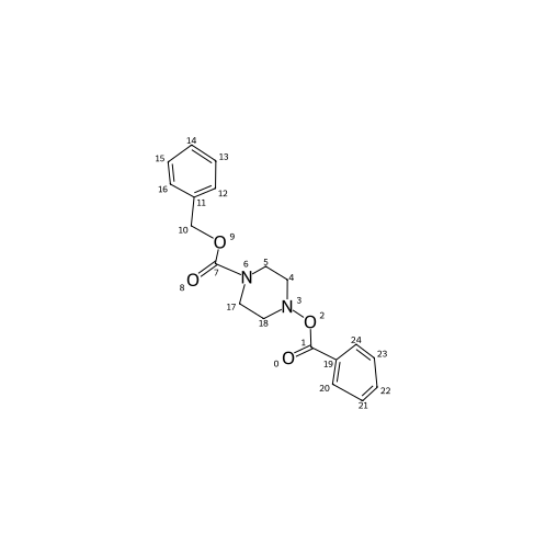 O=C(ON1CCN(C(=O)OCc2ccccc2)CC1)c1ccccc1